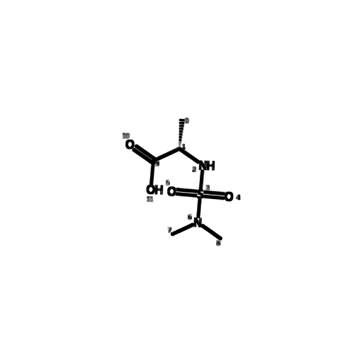 C[C@H](NS(=O)(=O)N(C)C)C(=O)O